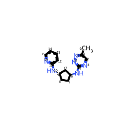 Cc1cnc(N[C@H]2CC[C@H](Nc3ccccn3)C2)nn1